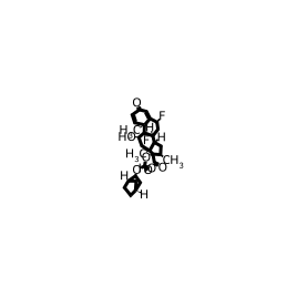 C[C@@H]1C[C@H]2[C@@H]3C[C@H](F)C4=CC(=O)C=C[C@]4(C)[C@@]3(F)[C@@H](O)C[C@]2(C)[C@@]1(OC(=O)O[C@H]1C[C@H]2CC[C@@H]1C2)C(=O)O